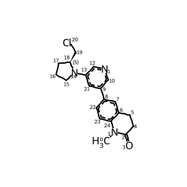 CN1C(=O)CCc2cc(-c3cncc(N4CCC[C@H]4CCl)c3)ccc21